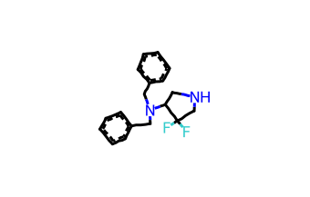 FC1(F)CNCC1N(Cc1ccccc1)Cc1ccccc1